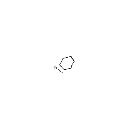 [CH2]C(C)C.[CH]1CCCCC1